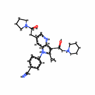 Cc1c(C(=O)CN2CCCCC2)c2ncc(CC(=O)N3CCCC3)cc2n1-c1ccc(C#N)cc1